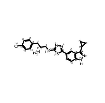 N[C@@H](CNc1nnc(-c2ccc3[nH]nc(C4CC4)c3c2)s1)Cc1ccc(Cl)cc1